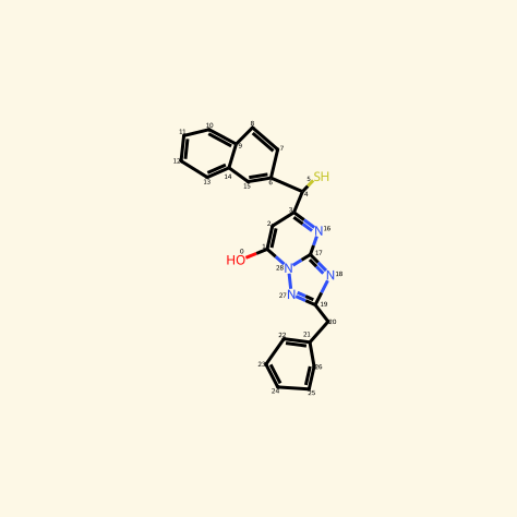 Oc1cc(C(S)c2ccc3ccccc3c2)nc2nc(Cc3ccccc3)nn12